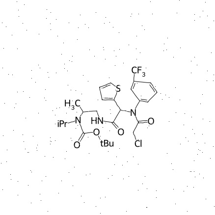 CC(C)N(C(=O)OC(C)(C)C)C(C)CNC(=O)C(c1cccs1)N(C(=O)CCl)c1cccc(C(F)(F)F)c1